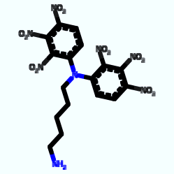 NCCCCCN(c1ccc([N+](=O)[O-])c([N+](=O)[O-])c1[N+](=O)[O-])c1ccc([N+](=O)[O-])c([N+](=O)[O-])c1[N+](=O)[O-]